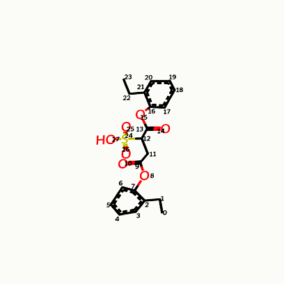 CCc1ccccc1OC(=O)CC(C(=O)Oc1ccccc1CC)S(=O)(=O)O